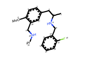 COc1ccc(CC(C)NCc2ccccc2F)cc1CNC(C)C